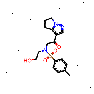 Cc1ccc(S(=O)(=O)N(CCO)CC(=O)c2cnn3c2CCC3)cc1